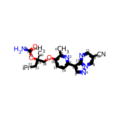 Cc1nc(-c2cnn3cc(C#N)cnc23)ccc1OC[C@](C)(CC(C)C)OC(N)=O